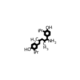 CC([CH]C(C)C(N)c1ccc(O)c(C(C)C)c1)Cc1ccc(O)c(C(C)C)c1